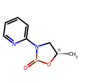 C[C@H]1CN(c2ccccn2)S(=O)O1